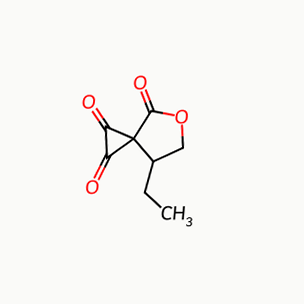 CCC1COC(=O)C12C(=O)C2=O